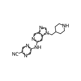 N#Cc1cnc(Nc2cc3c(cn2)ncn3CC2CCNCC2)cn1